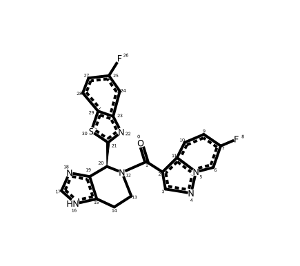 O=C(c1cnn2cc(F)ccc12)N1CCc2[nH]cnc2[C@H]1c1nc2cc(F)ccc2s1